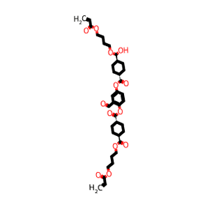 C=CC(=O)OCCCCOC(=O)[C@H]1CC[C@H](C(=O)Oc2ccc(OC(=O)[C@H]3CC[C@H](C(O)OCCCCOC(=O)C=C)CC3)cc2C=O)CC1